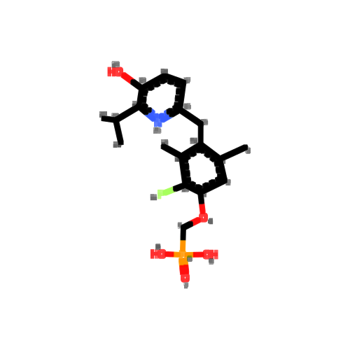 Cc1cc(OCP(=O)(O)O)c(F)c(C)c1Cc1ccc(O)c(C(C)C)n1